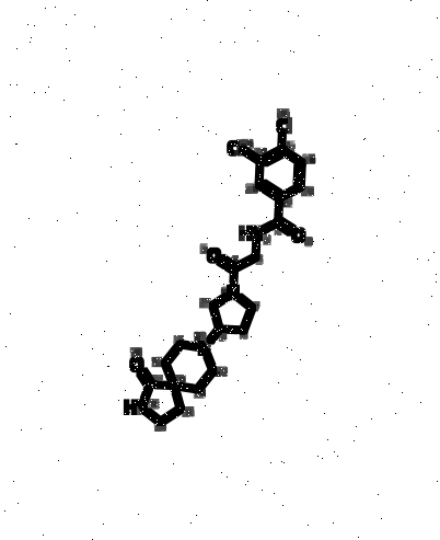 O=C(NCC(=O)N1CCC(N2CCC3(CCNC3=O)CC2)C1)c1ccc(Cl)c(Cl)c1